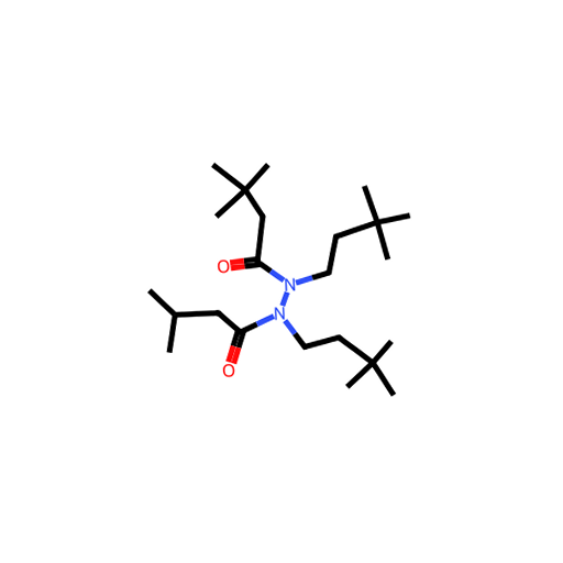 CC(C)CC(=O)N(CCC(C)(C)C)N(CCC(C)(C)C)C(=O)CC(C)(C)C